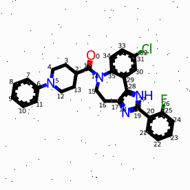 O=C(C1CCN(c2ccccc2)CC1)N1CCc2nc(-c3ccccc3F)[nH]c2-c2cc(Cl)ccc21